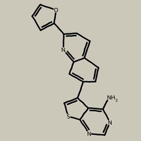 Nc1ncnc2scc(-c3ccc4ccc(-c5ccco5)nc4c3)c12